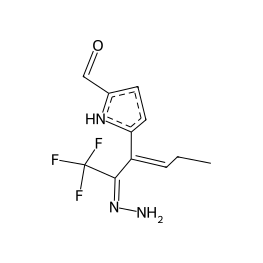 CC/C=C(/C(=N\N)C(F)(F)F)c1ccc(C=O)[nH]1